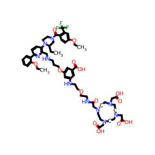 CCOc1ccc(C(=O)N2CCN(c3ccc(-c4ccccc4OCC)nc3CNCCCOc3cc(NCCOCCNC(=O)CN4CCN(CC(=O)O)CCN(CC(=O)O)CCN(CC(=O)O)CC4)cc(C(=O)O)c3)C(CC)C2)c(C(F)(F)F)c1